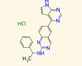 CC(Nc1ncc2cc(-c3ncnc4[nH]ccc34)ccc2n1)c1ccccc1.Cl